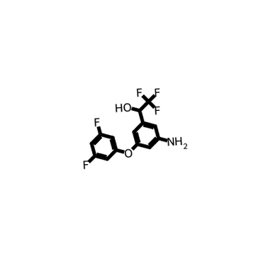 Nc1cc(Oc2cc(F)cc(F)c2)cc(C(O)C(F)(F)F)c1